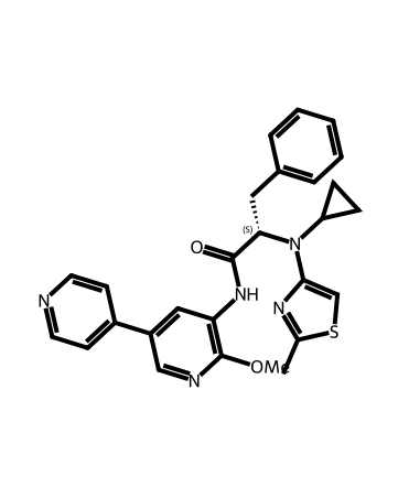 COc1ncc(-c2ccncc2)cc1NC(=O)[C@H](Cc1ccccc1)N(c1csc(C)n1)C1CC1